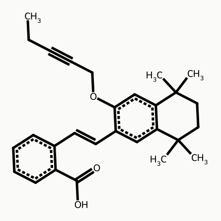 CCC#CCOc1cc2c(cc1C=Cc1ccccc1C(=O)O)C(C)(C)CCC2(C)C